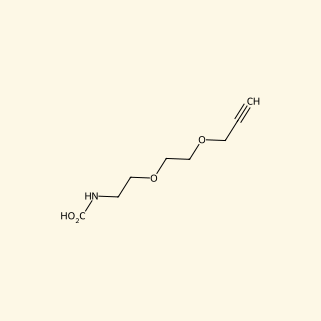 C#CCOCCOCCNC(=O)O